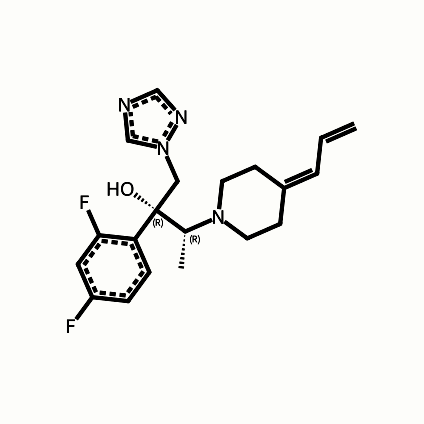 C=CC=C1CCN([C@H](C)[C@](O)(Cn2cncn2)c2ccc(F)cc2F)CC1